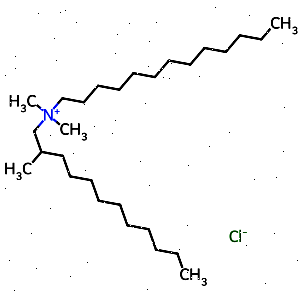 CCCCCCCCCCCCC[N+](C)(C)CC(C)CCCCCCCCCC.[Cl-]